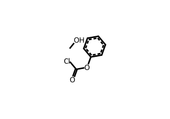 CO.O=C(Cl)Oc1ccccc1